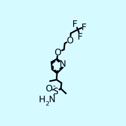 CC(CC(C)[S+](N)[O-])c1ccc(OCCOCC(F)(F)F)nc1